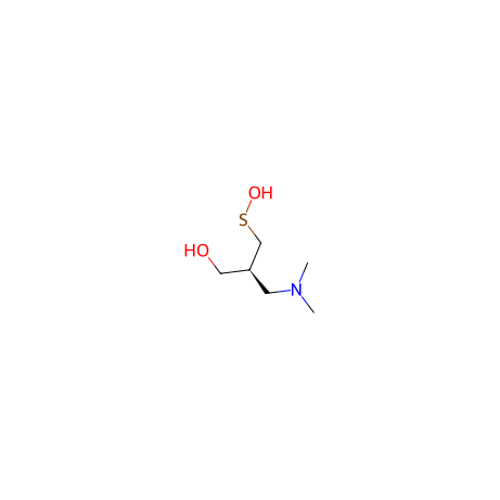 CN(C)C[C@@H](CO)CSO